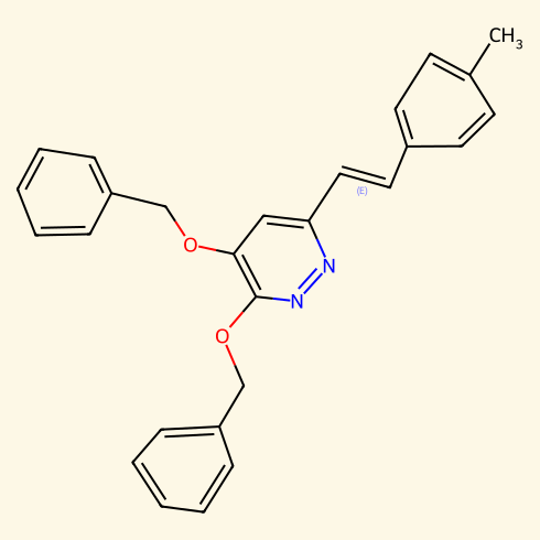 Cc1ccc(/C=C/c2cc(OCc3ccccc3)c(OCc3ccccc3)nn2)cc1